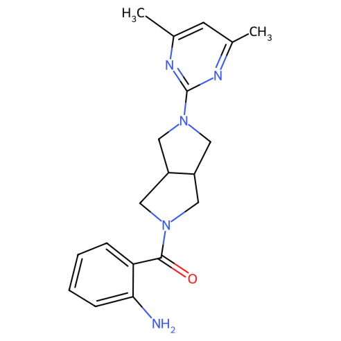 Cc1cc(C)nc(N2CC3CN(C(=O)c4ccccc4N)CC3C2)n1